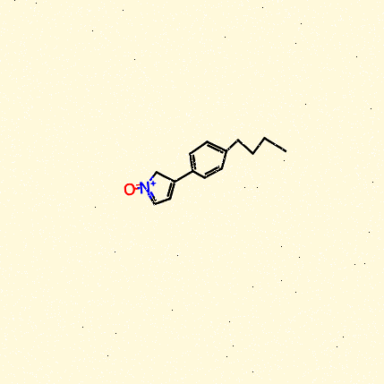 CCCCc1ccc(C2=CC=[N+]([O-])C2)cc1